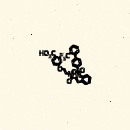 O=C(O)c1ccc(OCCNC(=O)[C@@H]2Cc3ccccc3N2S(=O)(=O)c2ccc(-c3ccccc3C(F)(F)F)cc2)cc1